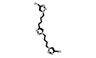 CC(C)c1cn(CCCCc2cn(CCCCn3cc(C(C)C)nn3)nn2)nn1